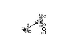 CC(C)[C@H](NC(=O)CCCCCNC(=O)/C=C(\C=O)CO)C(=O)N[C@@H](CCCNC(N)=O)C(=O)Nc1ccc(CO)cc1